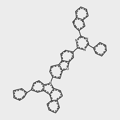 c1ccc(-c2ccc3c(c2)c2c4ccccc4ccc2n3-c2ccc3c(c2)oc2cc(-c4nc(-c5ccccc5)nc(-c5ccc6ccccc6c5)n4)ccc23)cc1